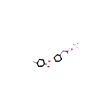 Cc1ccc(S(=O)(=O)Oc2ccc(CC(=O)NO[Si](C)(C)C)cc2)cc1